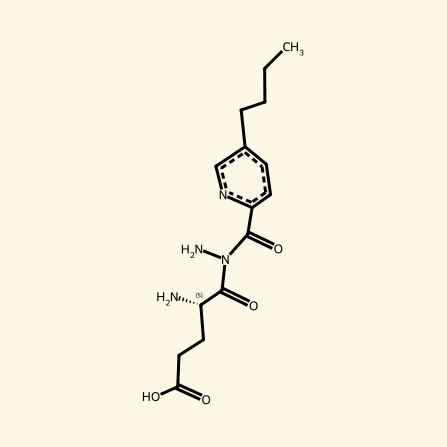 CCCCc1ccc(C(=O)N(N)C(=O)[C@@H](N)CCC(=O)O)nc1